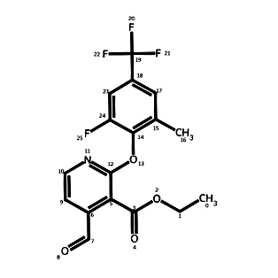 CCOC(=O)c1c(C=O)ccnc1Oc1c(C)cc(C(F)(F)F)cc1F